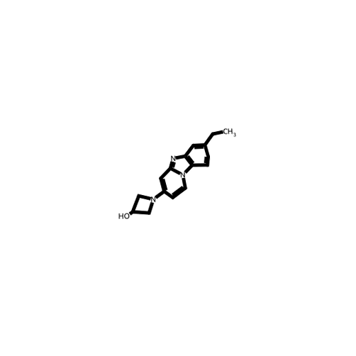 CCc1ccc2c(c1)nc1cc(N3CC(O)C3)ccn12